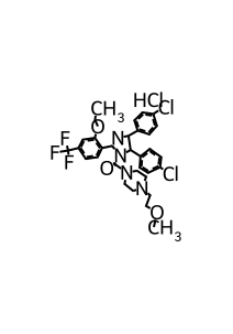 CCOc1cc(C(F)(F)F)ccc1C1=NC(c2ccc(Cl)cc2)C(c2ccc(Cl)cc2)N1C(=O)N1CCN(CCOC)CC1.Cl